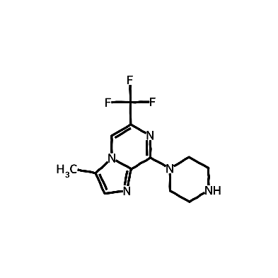 Cc1cnc2c(N3CCNCC3)nc(C(F)(F)F)cn12